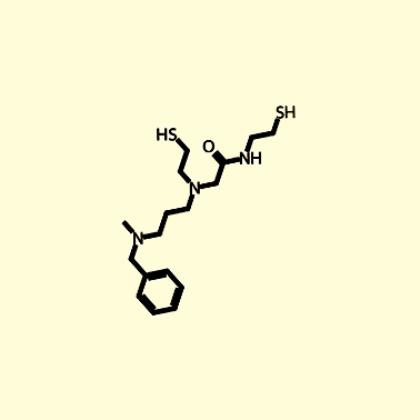 CN(CCCN(CCS)CC(=O)NCCS)Cc1ccccc1